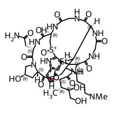 CC[C@@H]1C(CCCCNC)COc2ccc3c4c([nH]c3c2)[S+]([O-])C[C@@H]2NC(=O)CNC(=O)[C@H]1NC(=O)CNC(=O)[C@H](C4)NC(=O)[C@H]([C@@H](C)[C@@H](O)CO)NC(=O)[C@@H]1C[C@@H](O)CN1C(=O)[C@H](CC(N)=O)NC2=O